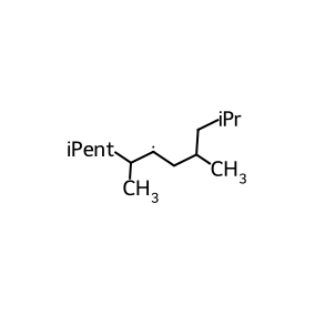 CCCC(C)C(C)[CH]CC(C)CC(C)C